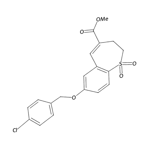 COC(=O)C1=Cc2cc(OCc3ccc(Cl)cc3)ccc2S(=O)(=O)CC1